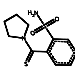 NS(=O)(=O)c1ccccc1C(=S)N1CCCC1